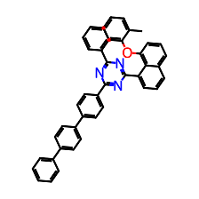 Cc1ccccc1Oc1cccc2cccc(-c3nc(-c4ccccc4)nc(-c4ccc(-c5ccc(-c6ccccc6)cc5)cc4)n3)c12